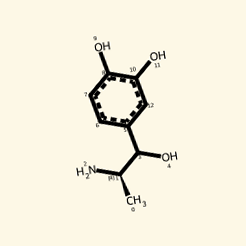 C[C@@H](N)C(O)c1ccc(O)c(O)c1